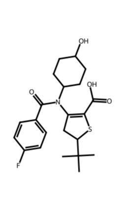 CC(C)(C)C1CC(N(C(=O)c2ccc(F)cc2)C2CCC(O)CC2)=C(C(=O)O)S1